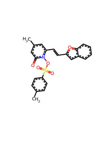 Cc1ccc(S(=O)(=O)On2c(/C=C/c3cc4ccccc4o3)cc(C)cc2=O)cc1